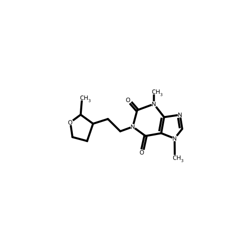 CC1OCCC1CCn1c(=O)c2c(ncn2C)n(C)c1=O